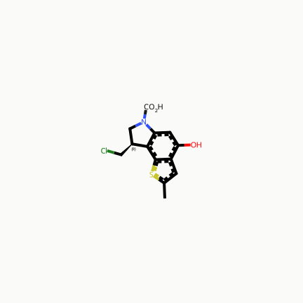 Cc1cc2c(O)cc3c(c2s1)[C@@H](CCl)CN3C(=O)O